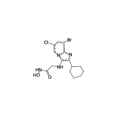 O=C(CNc1c(C2CCCCC2)nc2c(Br)cc(Cl)cn12)NO